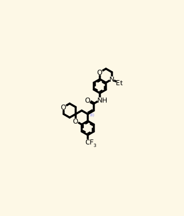 CCN1CCOc2ccc(NC(=O)/C=C3\CC4(CCOCC4)Oc4cc(C(F)(F)F)ccc43)cc21